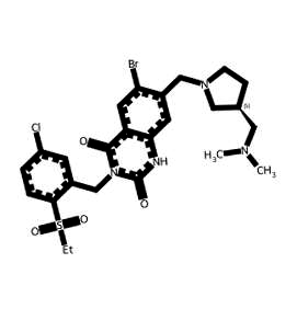 CCS(=O)(=O)c1ccc(Cl)cc1Cn1c(=O)[nH]c2cc(CN3CC[C@@H](CN(C)C)C3)c(Br)cc2c1=O